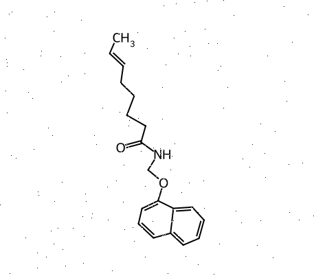 CC=CCCCCC(=O)NCOc1cccc2ccccc12